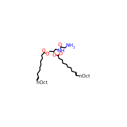 CCCCCCCCC=CCCCCCCCC(=O)OCC(CNC(=O)CN)OC(=O)CCCCCCCC=CCCCCCCCC